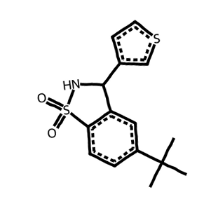 CC(C)(C)c1ccc2c(c1)C(c1ccsc1)NS2(=O)=O